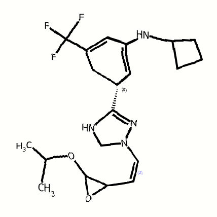 CC(C)OC1OC1/C=C\N1CNC([C@H]2C=C(NC3CCC3)C=C(C(F)(F)F)C2)=N1